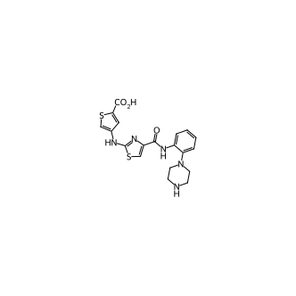 O=C(Nc1ccccc1N1CCNCC1)c1csc(Nc2csc(C(=O)O)c2)n1